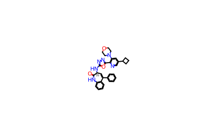 O=C1Nc2ccccc2C(c2ccccc2)=C[C@@H]1Nc1nnc(-c2ncc(C3CCC3)cc2N2CCOCC2)o1